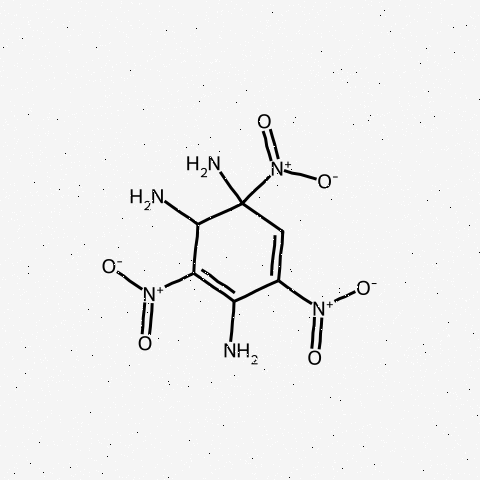 NC1=C([N+](=O)[O-])C(N)C(N)([N+](=O)[O-])C=C1[N+](=O)[O-]